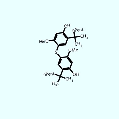 CCCCCC(C)(C)c1cc(Sc2cc(C(C)(C)CCCCC)c(O)cc2OC)c(OC)cc1O